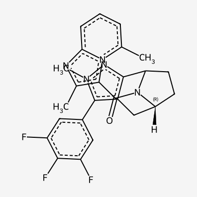 Cc1nc2cccc(C)n2c1C(=O)N1C2CC[C@@H]1Cc1c2nn(C)c1-c1cc(F)c(F)c(F)c1